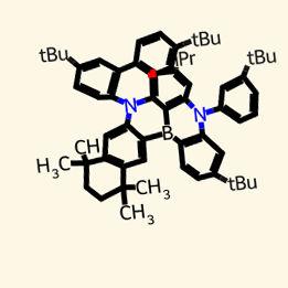 CC(C)c1cc2c3c(c1)N(c1ccc(C(C)(C)C)cc1-c1ccc(C(C)(C)C)cc1)c1cc4c(cc1B3c1ccc(C(C)(C)C)cc1N2c1cccc(C(C)(C)C)c1)C(C)(C)CCC4(C)C